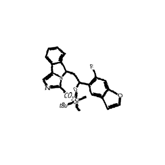 CC(C)(C)[Si](C)(C)OC(CC1c2ccccc2-c2cnc(C(=O)O)n21)c1cc2ccoc2cc1F